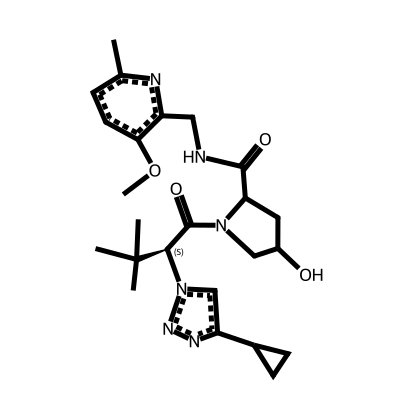 COc1ccc(C)nc1CNC(=O)C1CC(O)CN1C(=O)[C@@H](n1cc(C2CC2)nn1)C(C)(C)C